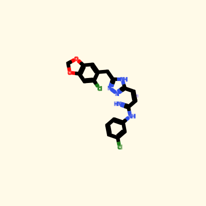 N=C(/C=C\c1nnc(Cc2cc3c(cc2Cl)OCO3)[nH]1)Nc1cccc(Cl)c1